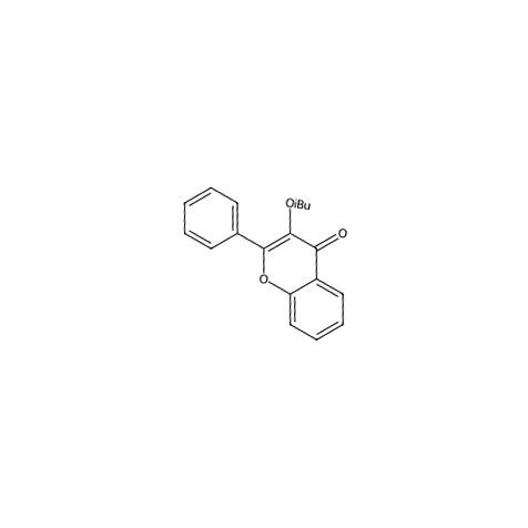 CC(C)COc1c(-c2ccccc2)oc2ccccc2c1=O